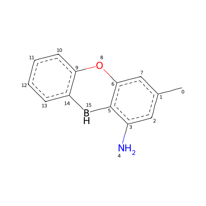 Cc1cc(N)c2c(c1)Oc1ccccc1B2